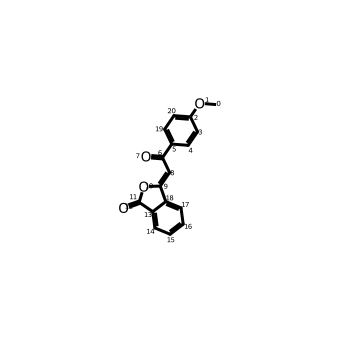 COc1ccc(C(=O)C=C2OC(=O)c3ccccc32)cc1